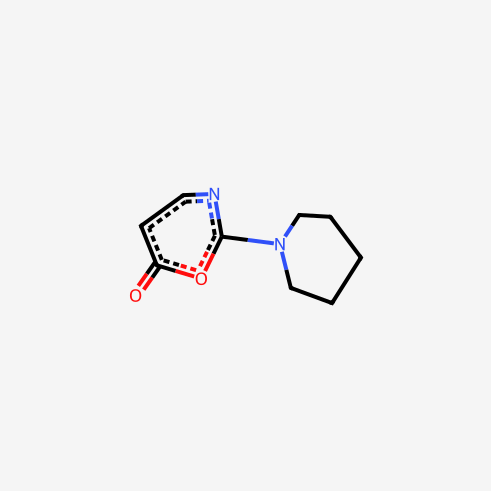 O=c1ccnc(N2CCCCC2)o1